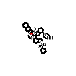 O=S(=O)(c1ccc2ccccc2c1)N1C2CCCC(N3CCNCC3)C2CC1(c1cccc2c1ccn2S(=O)(=O)c1ccccc1)c1nccn2cccc12